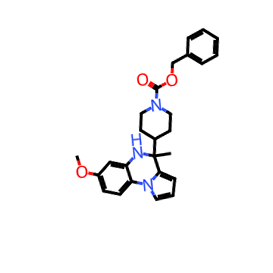 COc1ccc2c(c1)NC(C)(C1CCN(C(=O)OCc3ccccc3)CC1)c1cccn1-2